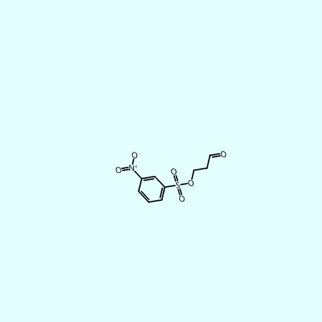 O=CCCOS(=O)(=O)c1cccc([N+](=O)[O-])c1